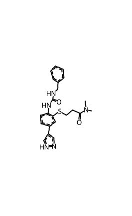 CN(C)C(=O)CCSc1cc(-c2cn[nH]c2)ccc1NC(=O)NCc1ccccc1